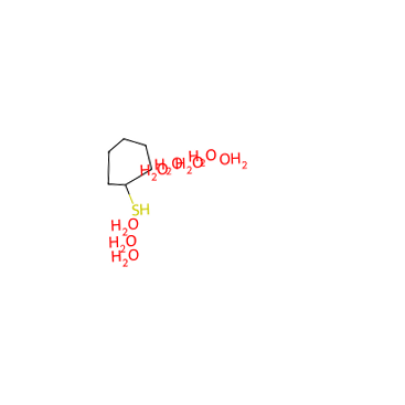 O.O.O.O.O.O.O.O.SC1CCCCC1